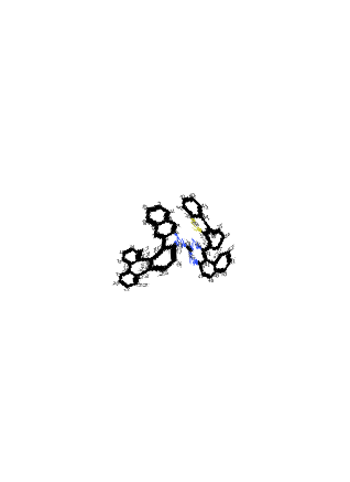 c1ccc2cc3c(cc2c1)c1c2c4ccccc4c4ccccc4c2ccc1n3-c1nc(-c2cccc3c2sc2ccccc23)c2c(ccc3ccccc32)n1